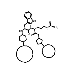 NC(=O)NCCC[C@H](NC(=O)[C@H](Cc1c[nH]c2ccccc12)NC1CCC(C2CCCCCCCCCCCCC2)CC1)C(=O)CC1CCC(C2CCCCCCCCCC2)C1